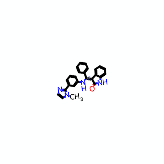 Cn1ccnc1-c1cccc(N/C(=C2\C(=O)Nc3ccccc32)c2ccccc2)c1